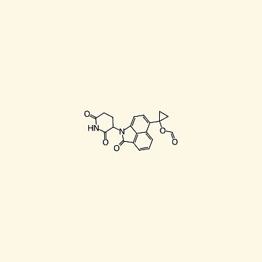 O=COC1(c2ccc3c4c(cccc24)C(=O)N3C2CCC(=O)NC2=O)CC1